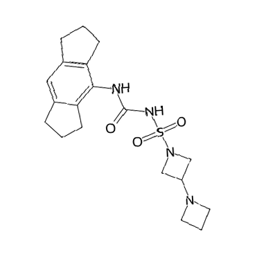 O=C(Nc1c2c(cc3c1CCC3)CCC2)NS(=O)(=O)N1CC(N2CCC2)C1